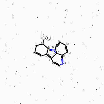 O=C(O)C1CC=CC2=C3C=CN=C4C=CC=CC43N=C21